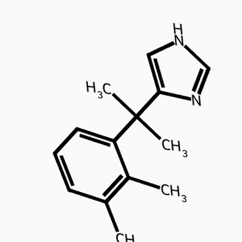 Cc1cccc(C(C)(C)c2c[nH]cn2)c1C